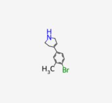 Cc1cc(C2=CCNCC2)ccc1Br